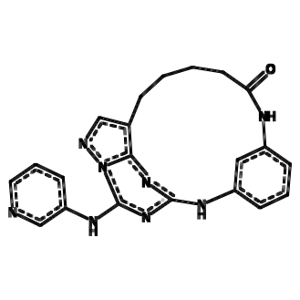 O=C1CCCCc2cnn3c(Nc4cccnc4)nc(nc23)Nc2cccc(c2)N1